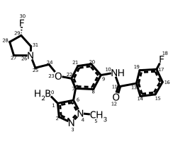 Bc1cnn(C)c1-c1cc(NC(=O)c2cccc(F)c2)ccc1OCCN1CC[C@H](F)C1